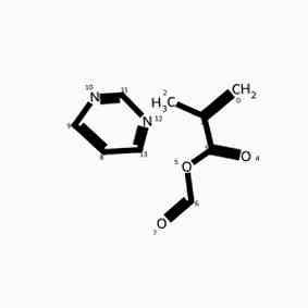 C=C(C)C(=O)OC=O.c1cncnc1